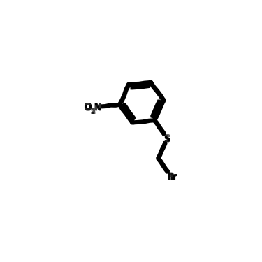 O=[N+]([O-])c1cccc(SCBr)c1